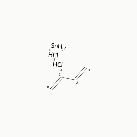 C=CC=C.Cl.Cl.[SnH2]